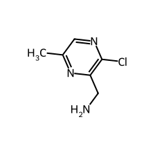 Cc1cnc(Cl)c(CN)n1